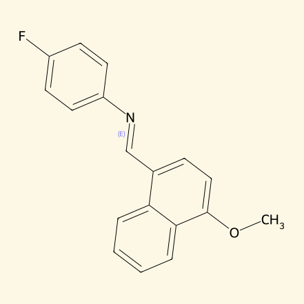 COc1ccc(/C=N/c2ccc(F)cc2)c2ccccc12